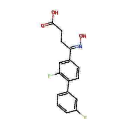 O=C(O)CC/C(=N\O)c1ccc(-c2cccc(F)c2)c(F)c1